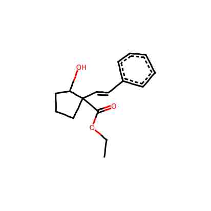 CCOC(=O)C1(C=Cc2ccccc2)CCCC1O